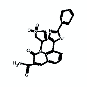 NC(=O)c1cc2cccc(-c3cnc(-c4ccccc4)[nH]3)c2n(C2C=CS(=O)(=O)C2)c1=O